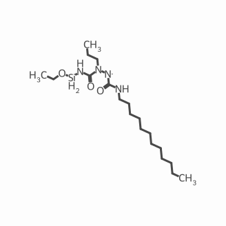 CCCCCCCCCCCCNC(=O)[N]N(CCC)C(=O)N[SiH2]OCC